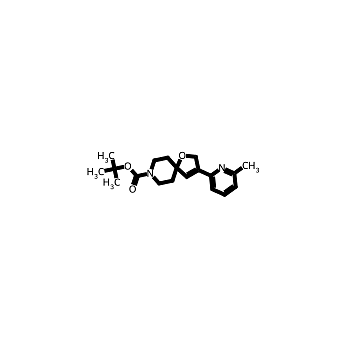 Cc1cccc(C2=CC3(CCN(C(=O)OC(C)(C)C)CC3)OC2)n1